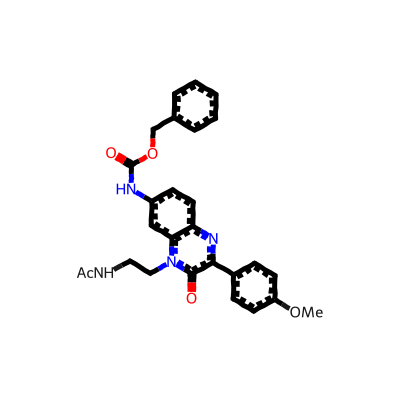 COc1ccc(-c2nc3ccc(NC(=O)OCc4ccccc4)cc3n(CCNC(C)=O)c2=O)cc1